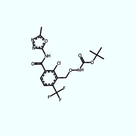 Cc1nnc(NC(=O)c2ccc(C(F)(F)F)c(CONC(=O)OC(C)(C)C)c2Cl)o1